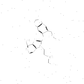 CCNCc1cc2c(cc1Sc1nc3c(N)nccc3n1CCNCC(C)(C)C)OCO2